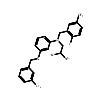 CCCC(O)CN(Cc1cc(C(F)(F)F)ccc1F)c1cccc(OCc2cccc(C(F)(F)F)c2)c1